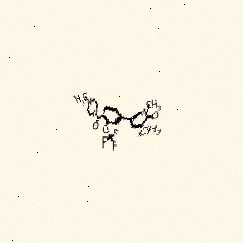 Cc1cc(-c2ccc(C(=O)N3CCN(C)CC3)c(OC(F)(F)F)c2)cn(C)c1=O